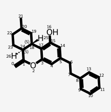 C=C1Oc2cc(CCc3ccccc3)cc(O)c2[C@H]2C=C(C)CC[C@H]12